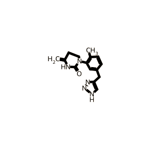 C=C1CCN(c2cc(Cc3c[nH]nn3)ccc2C)C(=O)N1